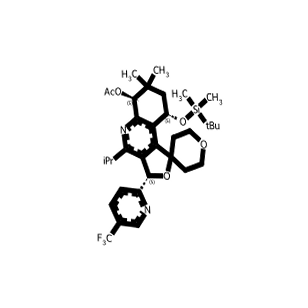 CC(=O)O[C@@H]1c2nc(C(C)C)c3c(c2[C@@H](O[Si](C)(C)C(C)(C)C)CC1(C)C)C1(CCOCC1)O[C@@H]3c1ccc(C(F)(F)F)cn1